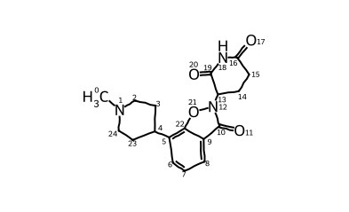 CN1CCC(c2cccc3c(=O)n(C4CCC(=O)NC4=O)oc23)CC1